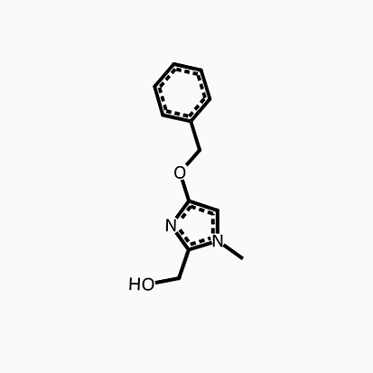 Cn1cc(OCc2ccccc2)nc1CO